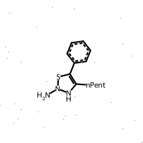 CCCCCC1=C(c2ccccc2)SN(N)N1